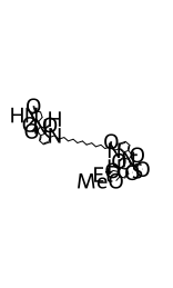 CCOc1cc([C@@H](CS(C)(=O)=O)N2C(=O)c3cccc(NC(=O)CCCCCCCCCCCNc4cccc5c4C(=O)N(C4CCC(=O)NC4=O)C5=O)c3C2=O)ccc1OC